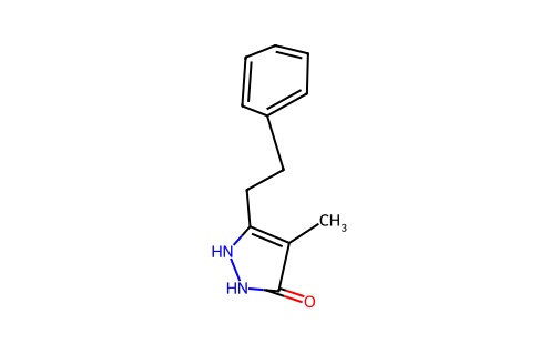 Cc1c(CCc2ccccc2)[nH][nH]c1=O